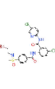 CS(=O)(=NCCBr)c1ccc(C(=O)Nc2ccc(Cl)cc2C(=O)Nc2ccc(Cl)cn2)cc1